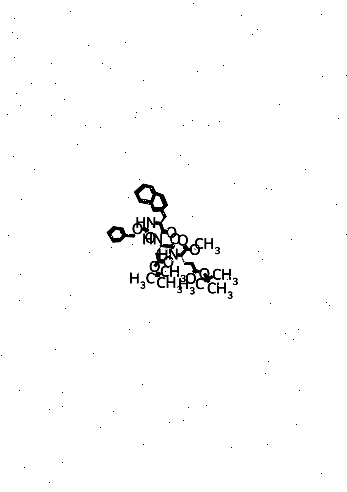 COC(=O)[C@H](CCC(=O)OC(C)(C)C)NC(=O)[C@H](CC(=O)OC(C)(C)C)NC(=O)[C@H](Cc1ccc2ccccc2c1)NC(=O)OCc1ccccc1